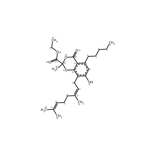 CCCCCc1cc(O)c(CC=C(C)CCC=C(C)C)c2c1C(=O)OC(C)(C(=O)OCC)O2